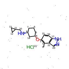 Cc1c(O[C@@H]2CCC[C@H](NCC3CC3)C2)ccc2[nH]ncc12.Cl